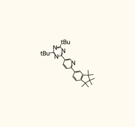 CC(C)(C)c1nc(-c2ccc(-c3ccc4c(c3)C(C)(C)C(C)(C)C4(C)C)nc2)nc(C(C)(C)C)n1